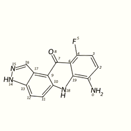 Nc1ccc(F)c2c(=O)c3c(ccc4[nH]ncc43)[nH]c12